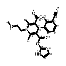 COCCN1C(C)=C(C(=O)O)[C@@H](c2cccc(C#N)c2Cl)C(C(=O)Oc2ncc[nH]2)=C1C